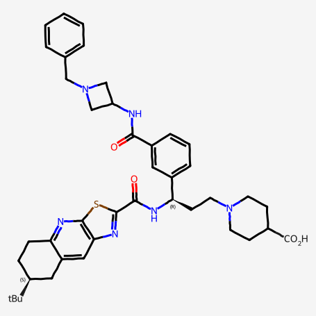 CC(C)(C)[C@H]1CCc2nc3sc(C(=O)N[C@H](CCN4CCC(C(=O)O)CC4)c4cccc(C(=O)NC5CN(Cc6ccccc6)C5)c4)nc3cc2C1